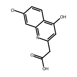 O=C(O)Cc1cc(O)c2ccc(Cl)cc2n1